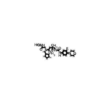 CC(C)(CNC(=O)Nc1ccc(N2CCOCC2)c(F)c1)CC(=O)N(CC(=O)NO)CC1CCCC1